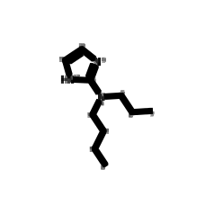 CCCCN(CCC)c1ncc[nH]1